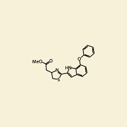 COC(=O)CC1CSC(c2cc3cccc(Oc4ccccc4)c3[nH]2)=N1